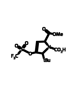 COC(=O)C1C=C(OS(=O)(=O)C(F)(F)F)C(C(C)(C)C)N1C(=O)O